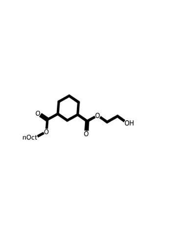 CCCCCCCCOC(=O)C1CCCC(C(=O)OCCO)C1